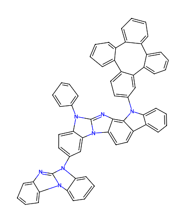 c1ccc(-n2c3ccc(-n4c5ccccc5n5c6ccccc6nc45)cc3n3c4ccc5c6ccccc6n(-c6ccc7c(c6)-c6ccccc6-c6ccccc6-c6ccccc6-7)c5c4nc23)cc1